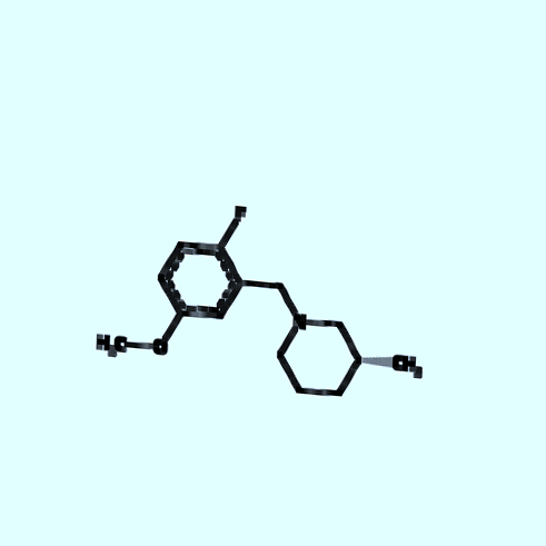 COc1ccc(F)c(CN2CCC[C@@H](C)C2)c1